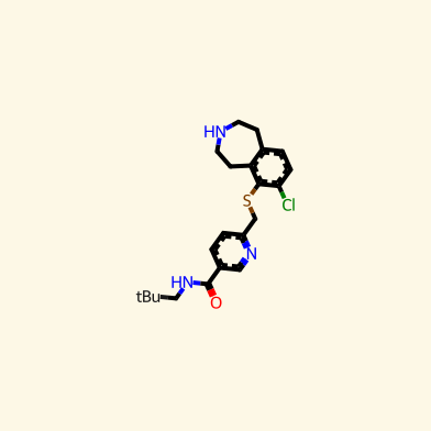 CC(C)(C)CNC(=O)c1ccc(CSc2c(Cl)ccc3c2CCNCC3)nc1